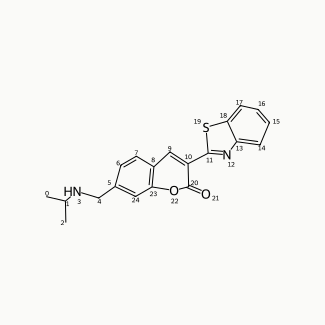 CC(C)NCc1ccc2cc(-c3nc4ccccc4s3)c(=O)oc2c1